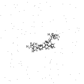 CC(C)(F)C1CN(c2ncc(-c3ccc(-n4cccn4)c4c3cnn4COCC[Si](C)(C)C)nn2)CCN1